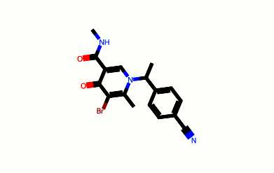 CNC(=O)c1cn(C(C)c2ccc(C#N)cc2)c(C)c(Br)c1=O